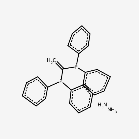 C=C(P(c1ccccc1)c1ccccc1)P(c1ccccc1)c1ccccc1.N.N